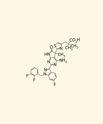 CC(C)(Cc1csc(C2(C)C(=O)Nc3nc(-c4nn(Cc5cccc(F)c5F)c5cc(F)ccc45)nc(N)c32)n1)C(=O)O